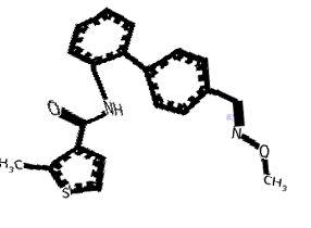 CO/N=C/c1ccc(-c2ccccc2NC(=O)c2ccsc2C)cc1